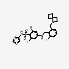 O=S(=O)(Nc1cscn1)c1c(F)cc(NCc2c(F)cccc2CN2CCC23CCC3)cc1F